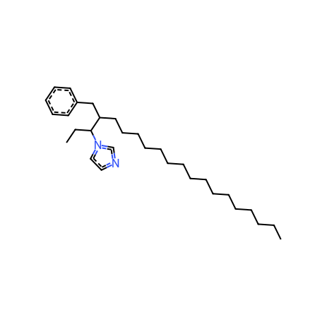 CCCCCCCCCCCCCCCCC(Cc1ccccc1)C(CC)n1ccnc1